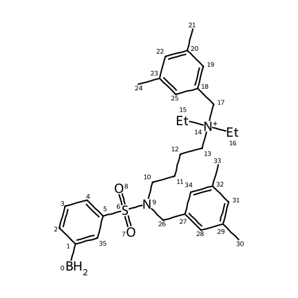 Bc1cccc(S(=O)(=O)N(CCCC[N+](CC)(CC)Cc2cc(C)cc(C)c2)Cc2cc(C)cc(C)c2)c1